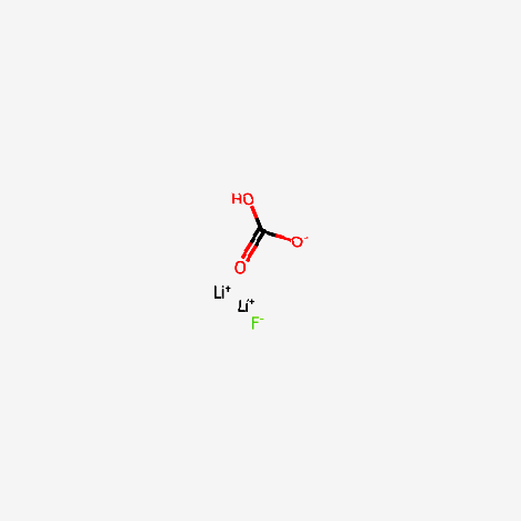 O=C([O-])O.[F-].[Li+].[Li+]